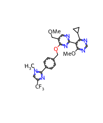 COCc1cnc(-c2c(OC)ncnc2C2CC2)nc1OCc1ccc(-c2nc(C(F)(F)F)cn2C)cc1